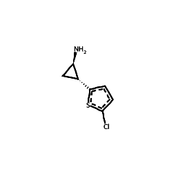 N[C@@H]1C[C@H]1c1ccc(Cl)s1